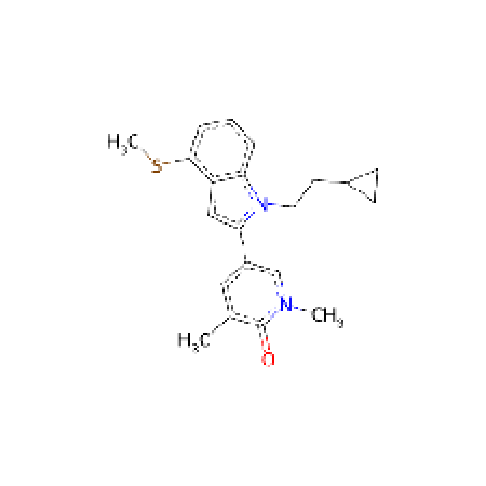 CSc1cccc2c1cc(-c1cc(C)c(=O)n(C)c1)n2CCC1CC1